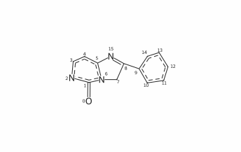 O=c1nccc2n1CC(c1ccccc1)=N2